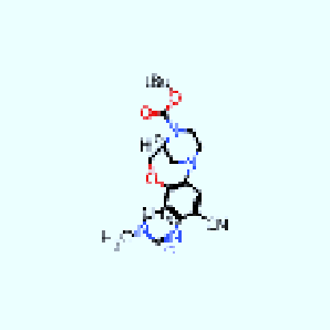 CN(C)/C=N\c1cc2c(cc1C#N)N1CCN(C(=O)OC(C)(C)C)[C@H](CO2)C1